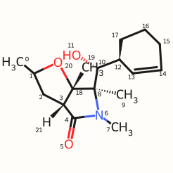 CC1C[C@H]2C(=O)N(C)[C@](C)([C@H](O)[C@@H]3C=CCCC3)[C@@]2(C)O1